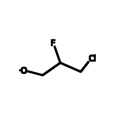 [O]CC(F)CCl